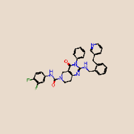 O=C(Nc1ccc(F)c(F)c1)N1CCc2nc(NCc3ccccc3Cc3cccnc3)n(-c3ccccc3)c(=O)c2C1